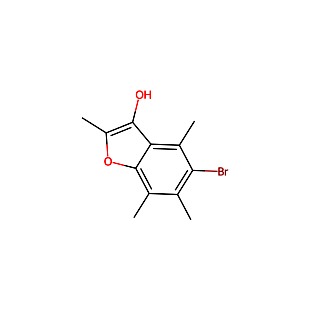 Cc1oc2c(C)c(C)c(Br)c(C)c2c1O